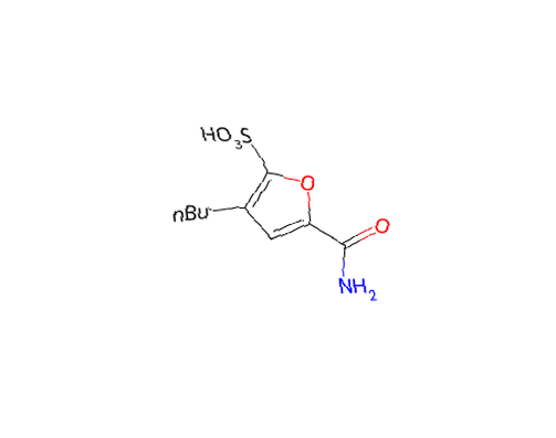 CCCCc1cc(C(N)=O)oc1S(=O)(=O)O